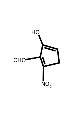 O=CC1=C([N+](=O)[O-])CC=C1O